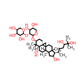 C[C@H](CC[C@@H](O)C(C)(C)O)[C@H]1[C@@H](O)C[C@@]2(C)[C@@H]3C[C@H](O)[C@H]4C(C)(C)[C@@H](O[C@@H]5OC[C@@H](O)[C@H](O)[C@H]5O[C@@H]5OC[C@H](O)[C@H](O)[C@H]5O)CC[C@@]45C[C@@]35CC[C@]12C